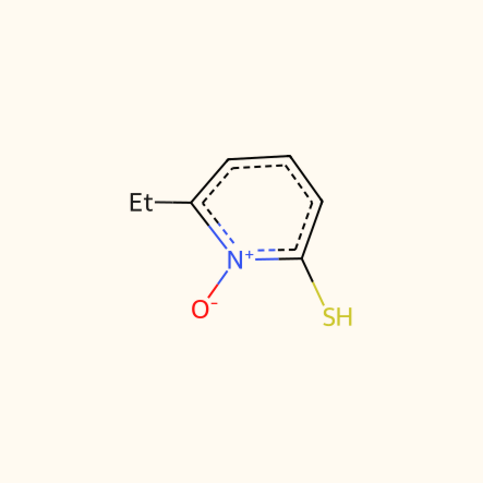 CCc1cccc(S)[n+]1[O-]